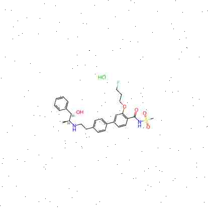 C[C@H](NCCc1ccc(-c2ccc(C(=O)NS(C)(=O)=O)c(OCCCF)c2)cc1)[C@@H](O)c1ccccc1.Cl